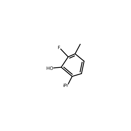 Cc1ccc(C(C)C)c(O)c1F